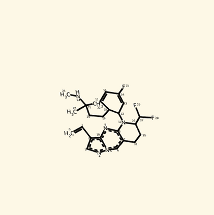 C=Cc1cnn2cc3c(nc12)N(C1C=C(F)C=CC1CCC(C)(C)NC)C(C(F)F)CC3